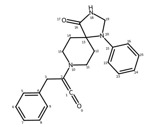 O=C=C(Cc1ccccc1)N1CCC2(CC1)C(=O)NCN2c1ccccc1